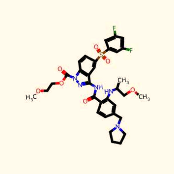 COCCOC(=O)n1nc(NC(=O)c2ccc(CN3CCCC3)cc2NC(C)COC)c2cc(S(=O)(=O)c3cc(F)cc(F)c3)ccc21